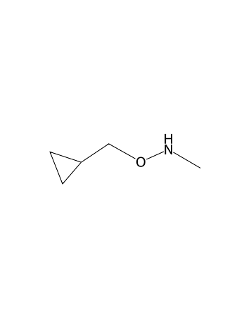 CNOCC1CC1